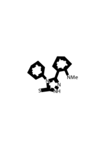 CNc1ccccc1-c1n[nH]c(=S)n1-c1ccccc1